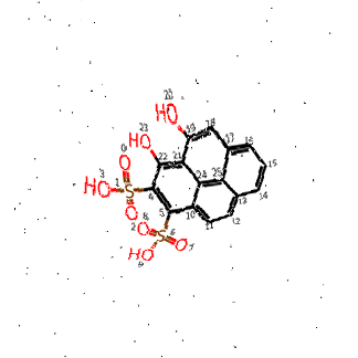 O=S(=O)(O)c1c(S(=O)(=O)O)c2ccc3cccc4cc(O)c(c1O)c2c34